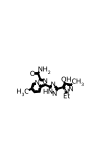 CCn1nc(C)c(O)c1-c1n[nH]c(-c2nc(C(N)=O)n3cc(C)ccc23)n1